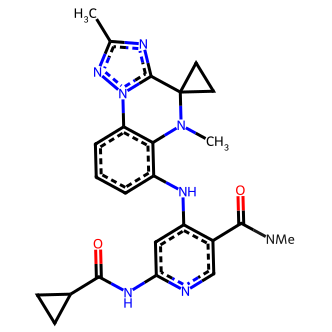 CNC(=O)c1cnc(NC(=O)C2CC2)cc1Nc1cccc2c1N(C)C1(CC1)c1nc(C)nn1-2